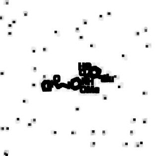 COC1CN(CCCC(=O)N2CCCC2)CCC1NC(=O)c1cc(C(C)(C)C)ccc1O